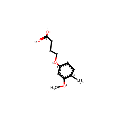 COc1cc(OCCCC(=O)O)ccc1C